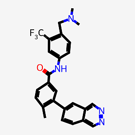 Cc1ccc(C(=O)Nc2ccc(CN(C)C)c(C(F)(F)F)c2)cc1-c1ccc2cnncc2c1